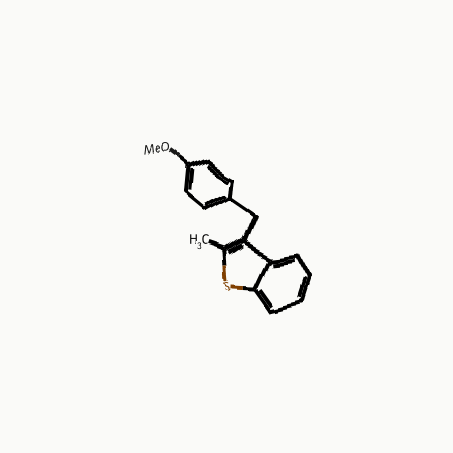 COc1ccc(Cc2c(C)sc3ccccc23)cc1